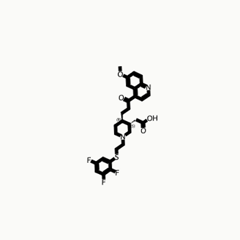 COc1ccc2nccc(C(=O)CC[C@@H]3CCN(CCSc4cc(F)cc(F)c4F)C[C@H]3CC(=O)O)c2c1